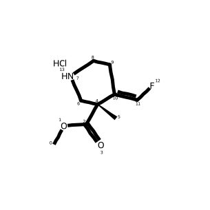 COC(=O)[C@]1(C)CNCC/C1=C\F.Cl